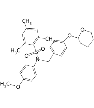 COc1ccc(N(Cc2ccc(OC3CCCCO3)cc2)S(=O)(=O)c2c(C)cc(C)cc2C)cc1